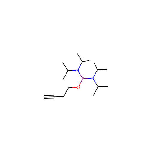 C#CCCOP(N(C(C)C)C(C)C)N(C(C)C)C(C)C